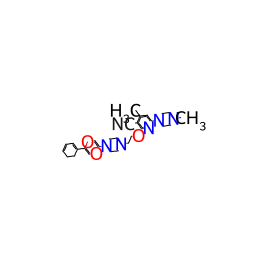 Cc1cc(N2CCN(C)CC2)nc(OCCN2CCN(C3=COC(C4=CC=CCC4)=CO3)CC2)c1C#N